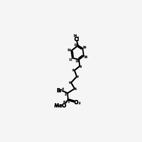 COC(=O)C(Br)CCCCCc1ccc(Cl)cc1